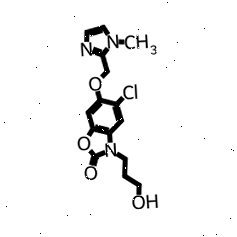 Cn1ccnc1COc1cc2oc(=O)n(CCCO)c2cc1Cl